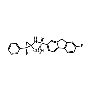 CCC1(c2ccccc2)CC1(NS(=O)(=O)c1ccc2c(c1)Cc1cc(F)ccc1-2)C(=O)O